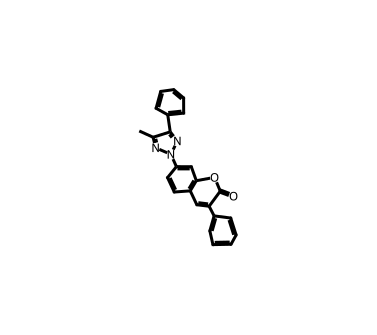 Cc1nn(-c2ccc3cc(-c4ccccc4)c(=O)oc3c2)nc1-c1ccccc1